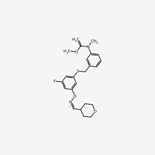 C=C(OC)N(C)c1cccc(CSc2cc(F)cc(O/N=C\C3CCOCC3)c2)c1